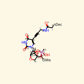 CCCCCCCCCCCC(=O)NCC#Cc1cn([C@@H]2O[C@]3(COC)COC2[C@@H]3OP(C)(=O)O)c(=O)[nH]c1=O